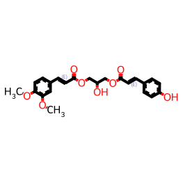 COc1ccc(/C=C/C(=O)OCC(O)COC(=O)/C=C/c2ccc(O)cc2)cc1OC